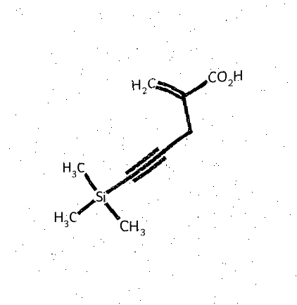 C=C(CC#C[Si](C)(C)C)C(=O)O